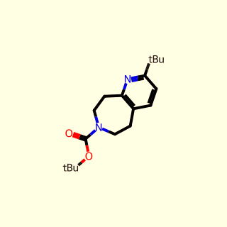 CC(C)(C)OC(=O)N1CCc2ccc(C(C)(C)C)nc2CC1